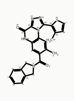 Cc1cc2c(cc1C(=O)N1Cc3ccccc3C1)[nH]c(=O)c1nnc(-c3sccc3C)n12